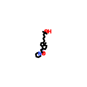 CC(C)(O)CCCCC1CCC2/C(=C/C(=O)N3CCCCC3)CCCC12C